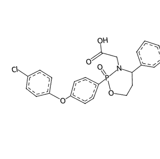 O=C(O)CN1C(c2ccccc2)CCOP1(=O)c1ccc(Oc2ccc(Cl)cc2)cc1